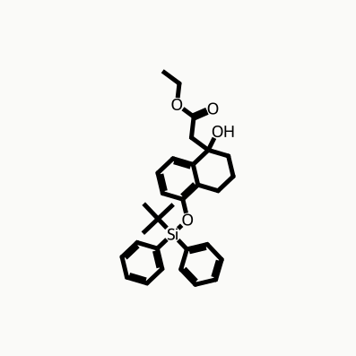 CCOC(=O)CC1(O)CCCc2c(O[Si](c3ccccc3)(c3ccccc3)C(C)(C)C)cccc21